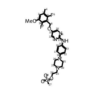 COc1cc(C)c(F)c(COc2cnc(Nc3ccc(N4CCN(CCOS(C)(=O)=O)CC4)cc3)nc2)c1F